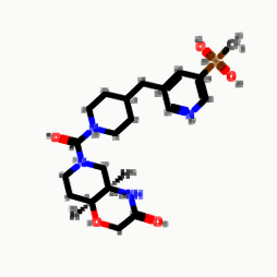 O=C1CO[C@H]2CCN(C(=O)N3CCC(Cc4cncc(S(=O)(=O)C(F)(F)F)c4)CC3)C[C@H]2N1